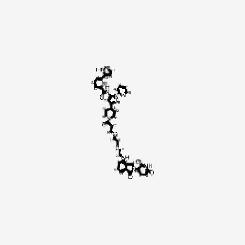 O=C1CCC(N2Cc3c(NCCOCCOCCC(=O)N4CCC(c5cc(NC(=O)c6cccc(-c7ccn[nH]7)n6)n(-c6ccccn6)n5)CC4)cccc3C2=O)C(=O)N1